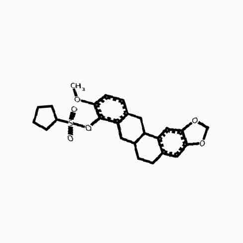 COc1ccc2c(c1OS(=O)(=O)C1CCCC1)CC1CCc3cc4c(cc3C1C2)OCO4